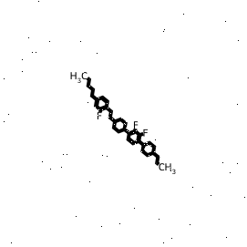 CCCCCc1ccc(CCC2CCC(c3ccc(C4CCC(CCC)CC4)c(F)c3F)CC2)c(F)c1